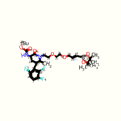 CC1C(c2c(F)ccc(F)c2F)CC(NC(=O)OC(C)(C)C)C(=O)N1CCOCCOC/C=C/B1OC(C)(C)C(C)(C)O1